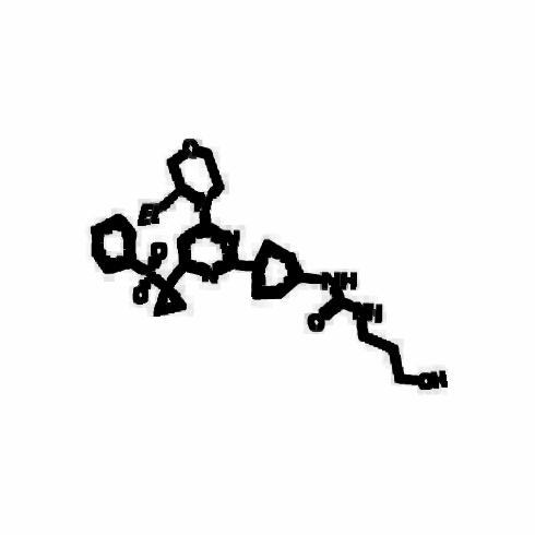 CC[C@H]1COCCN1c1cc(C2(S(=O)(=O)c3ccccc3)CC2)nc(-c2ccc(NC(=O)NCCCO)cc2)n1